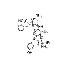 CC[C@H](C)[C@H](NC(=O)[C@H](Cc1ccc(O)cc1)NC(=O)[C@@H](N)C(C)C)C(=O)N[C@@H](CC(N)=O)C(=O)N[C@@H](Cc1ccccc1)C(=O)O